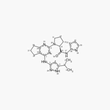 CC(C)c1cc(Nc2nc(N3CCC[C@H]3C(=O)Nc3nccs3)nc3c2CCC3)n[nH]1